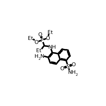 CCOP(=O)(OCC)C(CC)Nc1c(N)ccc2c(S(N)(=O)=O)cccc12